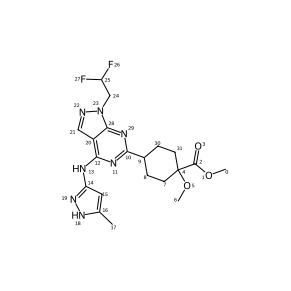 COC(=O)C1(OC)CCC(c2nc(Nc3cc(C)[nH]n3)c3cnn(CC(F)F)c3n2)CC1